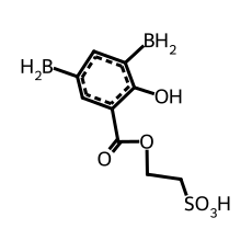 Bc1cc(B)c(O)c(C(=O)OCCS(=O)(=O)O)c1